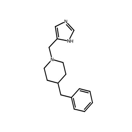 c1ccc(CC2CCN(Cc3cnc[nH]3)CC2)cc1